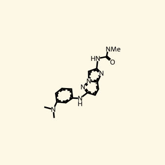 CNC(=O)Nc1cn2nc(Nc3cccc(N(C)C)c3)ccc2n1